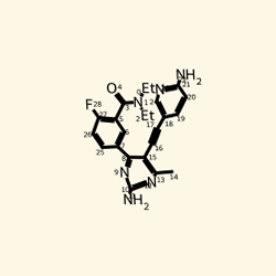 CCN(CC)C(=O)c1cc(-c2nc(N)nc(C)c2C#Cc2ccc(N)nc2)ccc1F